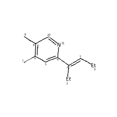 CC/C=C(\CC)c1cc(C)c(C)cn1